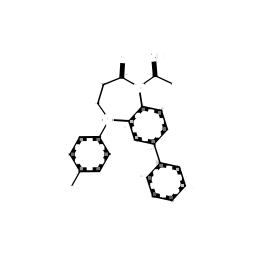 CC(=N)N1C(=N)CCN(c2ccc(Cl)cc2)c2cc(-c3ccccc3)ccc21